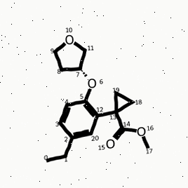 CCc1ccc(O[C@@H]2CCOC2)c(C2(C(=O)OC)CC2)c1